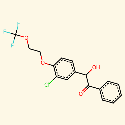 O=C(c1ccccc1)C(O)c1ccc(OCCOC(F)(F)F)c(Cl)c1